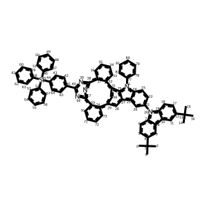 CC(C)(C)c1ccc2c(c1)c1cc(C(C)(C)C)ccc1n2-c1ccc2c(c1)c1cc3cc(c4ccccc4c4nc(-c5ccc([Si](c6ccccc6)(c6ccccc6)c6ccccc6)cc5)nc(n4)c4ccccc34)c1n2-c1ccccc1